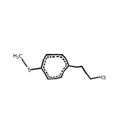 CSc1ccc(CCCl)cc1